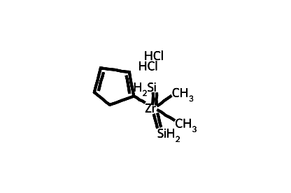 Cl.Cl.[CH3][Zr]([CH3])(=[SiH2])(=[SiH2])[C]1=CC=CC1